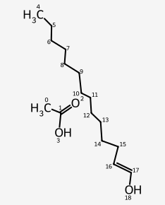 CC(=O)O.CCCCCCCCCCCCC=CO